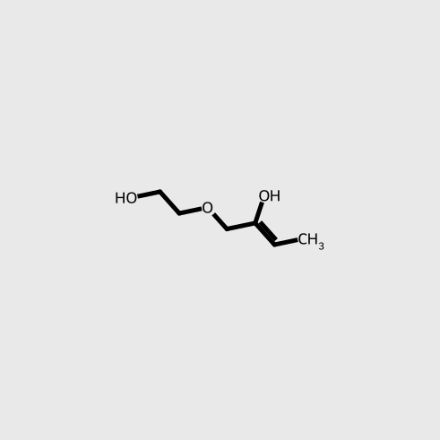 CC=C(O)COCCO